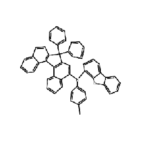 Cc1ccc(N(c2cc3c(c4ccccc24)-c2c(ccc4ccccc24)C3(c2ccccc2)c2ccccc2)c2cccc3c2oc2ccccc23)cc1